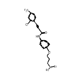 CCN(CC)CCCOc1ccc(NC(=O)C#Cc2ccc(C(F)(F)F)cc2Cl)cc1